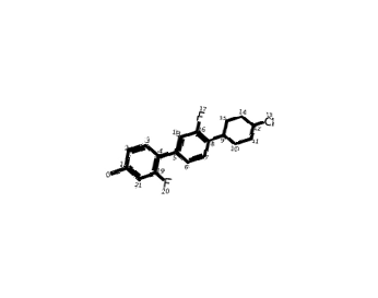 Cc1ccc(-c2ccc(C3CCC(Cl)CC3)c(F)c2)c(F)c1